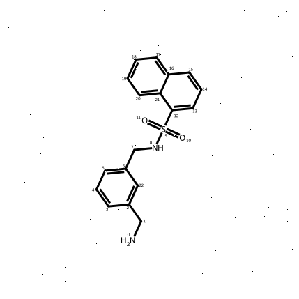 NCc1cccc(CNS(=O)(=O)c2cccc3ccccc23)c1